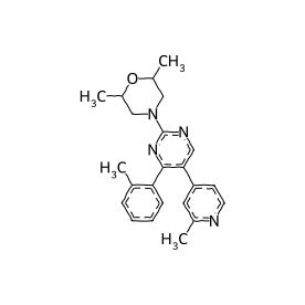 Cc1cc(-c2cnc(N3CC(C)OC(C)C3)nc2-c2ccccc2C)ccn1